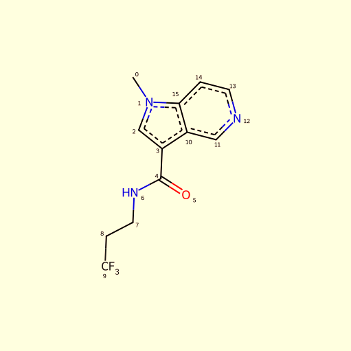 Cn1cc(C(=O)NCCC(F)(F)F)c2cnccc21